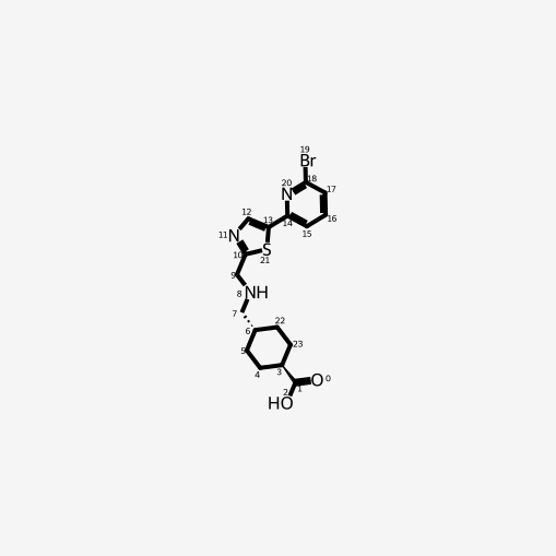 O=C(O)[C@H]1CC[C@H](CNCc2ncc(-c3cccc(Br)n3)s2)CC1